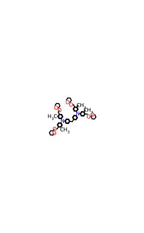 Cc1cc(N(c2ccc(Cc3ccc(N(c4ccc(COC5CCCCO5)c(C)c4)c4ccc(COC5CCCCO5)c(C)c4)cc3)cc2)c2ccc(COC3CCCCO3)c(C)c2)ccc1COC1CCCCO1